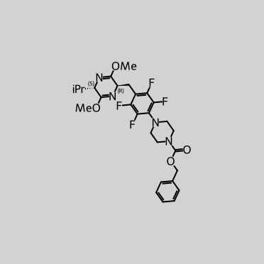 COC1=N[C@H](Cc2c(F)c(F)c(N3CCN(C(=O)OCc4ccccc4)CC3)c(F)c2F)C(OC)=N[C@H]1C(C)C